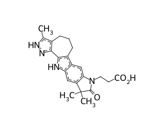 Cc1[nH]nc2c1CCCc1c-2[nH]c2cc3c(cc12)N(CCC(=O)O)C(=O)C3(C)C